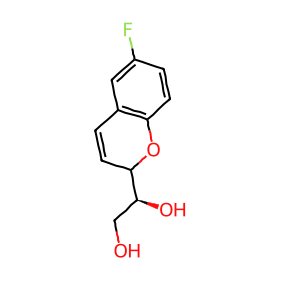 OC[C@H](O)C1C=Cc2cc(F)ccc2O1